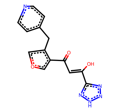 O=C(C=C(O)c1nn[nH]n1)c1cocc1Cc1ccncc1